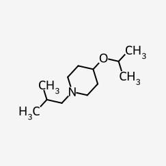 CC(C)CN1CCC(OC(C)C)CC1